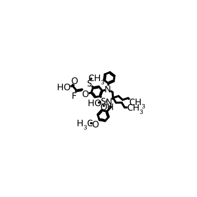 CCCCC1(CCCC)CN(c2ccccc2)c2cc(SC)c(O/C=C(\F)C(=O)O)cc2S(O)(O)N1Cc1ccc(OC)cc1